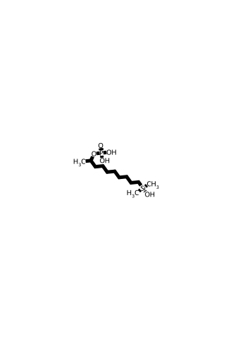 CC(CCCCCCCC[Si](C)(C)O)OP(=O)(O)O